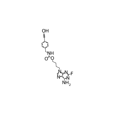 Nc1nc(F)nc2c1ncn2CCCCOC(=O)NCc1ccc(C#CO)cc1